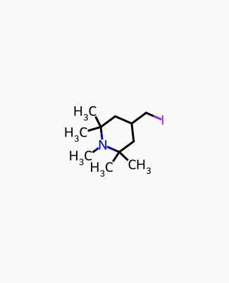 CN1C(C)(C)CC(CI)CC1(C)C